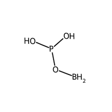 BOP(O)O